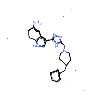 NC1=Cc2c(-c3nnc(CN4CCC(Cc5ccccc5)CC4)[nH]3)c[nH]c2CC1